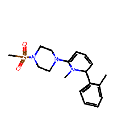 Cc1ccccc1C1C=CC=C(N2CCN(S(C)(=O)=O)CC2)N1C